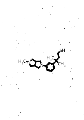 CN1CC2CN(c3cccc(C(C)(C)CCS)c3)CC2C1